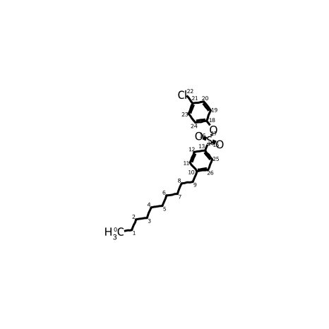 CCCCCCCCCCc1ccc(S(=O)(=O)Oc2ccc(Cl)cc2)cc1